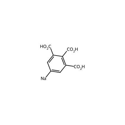 O=C(O)c1c[c]([Na])cc(C(=O)O)c1C(=O)O